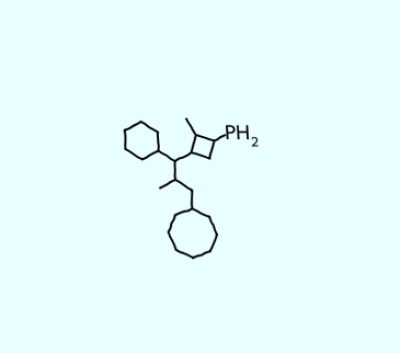 CC(CC1CCCCCCC1)C(C1CCCCC1)C1CC(P)C1C